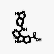 O=C(O)[C@H]1CCc2[nH]c3ncnc(Nc4ccc5[nH]ncc5c4)c3c2C1